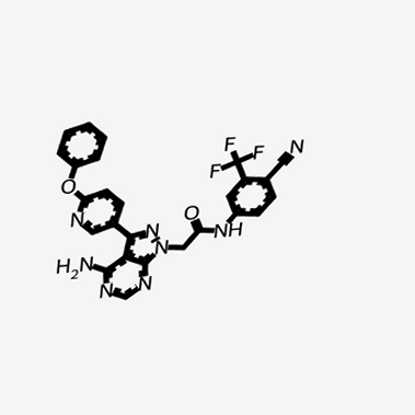 N#Cc1ccc(NC(=O)Cn2nc(-c3ccc(Oc4ccccc4)nc3)c3c(N)ncnc32)cc1C(F)(F)F